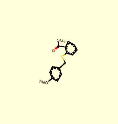 COC(=O)c1ccccc1SCc1ccc(OC)cc1